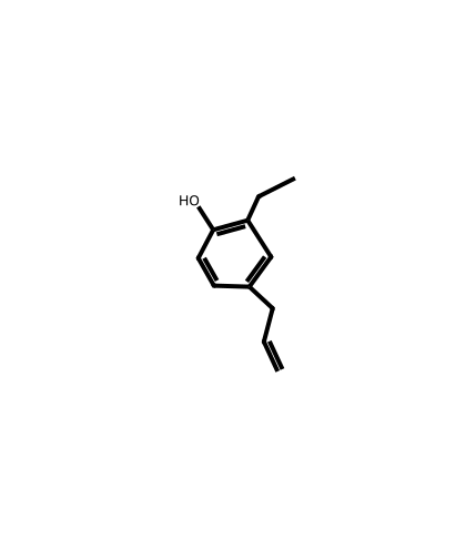 C=CCc1ccc(O)c(CC)c1